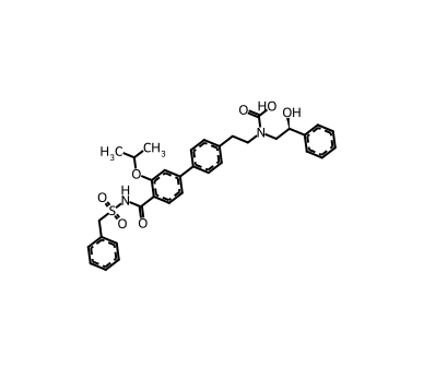 CC(C)Oc1cc(-c2ccc(CCN(C[C@@H](O)c3ccccc3)C(=O)O)cc2)ccc1C(=O)NS(=O)(=O)Cc1ccccc1